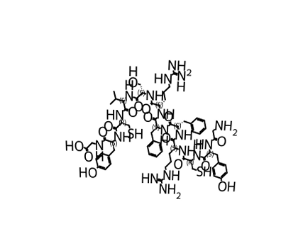 CC(C)[C@H](NC(=O)[C@H](CO)NC(=O)[C@H](CCCNC(=N)N)NC(=O)[C@H](Cc1ccccc1)NC(=O)[C@H](Cc1ccccc1)NC(=O)[C@H](CCCNC(=N)N)NC(=O)[C@H](CS)NC(=O)[C@H](Cc1ccc(O)cc1)NC(=O)CN)C(=O)N[C@@H](CS)C(=O)N[C@@H](Cc1ccc(O)cc1)C(=O)NCC(=O)O